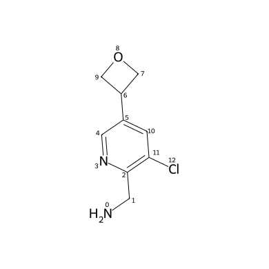 NCc1ncc(C2COC2)cc1Cl